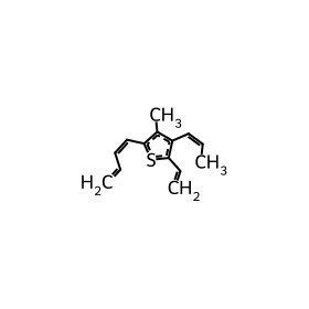 C=C/C=C\c1sc(C=C)c(/C=C\C)c1C